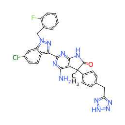 CC1(c2ccc(Cc3nn[nH]n3)cc2)C(=O)Nc2nc(-c3nn(Cc4ccccc4F)c4cc(Cl)ccc34)nc(N)c21